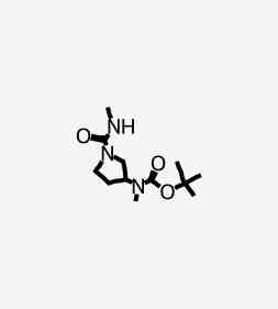 CNC(=O)N1CCC(N(C)C(=O)OC(C)(C)C)C1